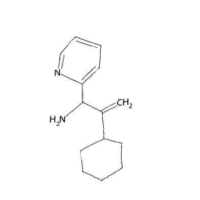 C=C(C1CCCCC1)C(N)c1ccccn1